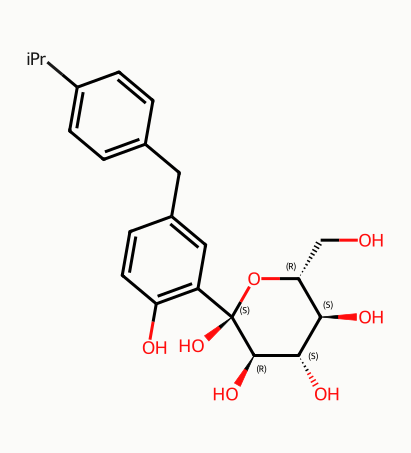 CC(C)c1ccc(Cc2ccc(O)c([C@]3(O)O[C@H](CO)[C@@H](O)[C@H](O)[C@H]3O)c2)cc1